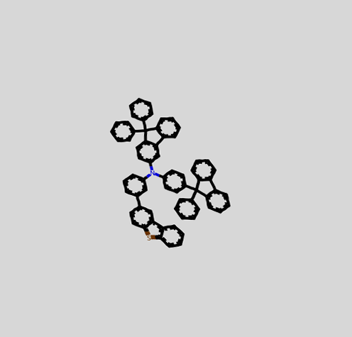 c1ccc(C2(c3ccc(N(c4cccc(-c5ccc6sc7ccccc7c6c5)c4)c4ccc5c(c4)-c4ccccc4C5(c4ccccc4)c4ccccc4)cc3)c3ccccc3-c3ccccc32)cc1